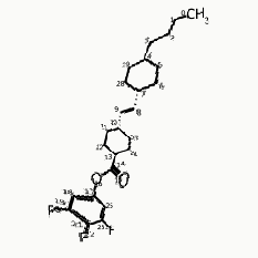 CCCC[C@H]1CC[C@H](CC[C@H]2CC[C@H](C(=O)Oc3cc(F)c(F)c(F)c3)CC2)CC1